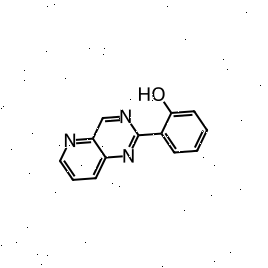 Oc1ccccc1-c1ncc2ncccc2n1